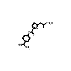 CC(Cc1ccc(C(=O)Oc2ccc(C(=N)N)cc2)s1)C(=O)O